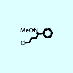 CO/N=C(\CCCCl)c1ccccc1